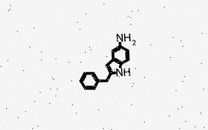 Nc1ccc2[nH]c(Cc3ccccc3)cc2c1